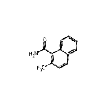 NC(=O)c1c(C(F)(F)F)ccc2ccccc12